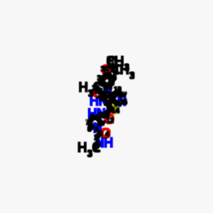 CNCC(=O)N1CCCC(NC(=O)c2sc3nccc4c3c2NC(=O)N4c2ccc(OC(C)C)cc2C)C1